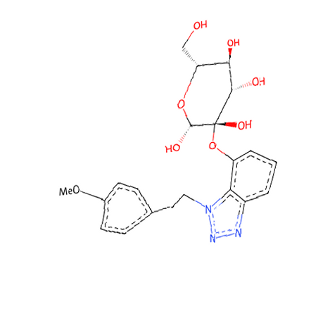 COc1ccc(CCn2nnc3cccc(O[C@]4(O)[C@H](O)O[C@H](CO)[C@@H](O)[C@@H]4O)c32)cc1